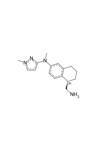 CN(c1ccc2c(c1)CCC[C@H]2CN)c1ccn(C)n1